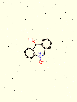 [O-][NH+]1Cc2ccccc2C(O)c2ccccc21